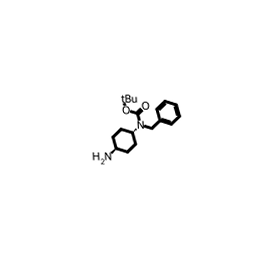 CC(C)(C)OC(=O)N(Cc1ccccc1)[C@H]1CC[C@H](N)CC1